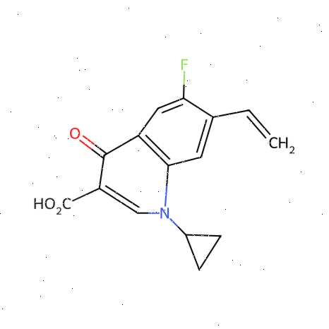 C=Cc1cc2c(cc1F)c(=O)c(C(=O)O)cn2C1CC1